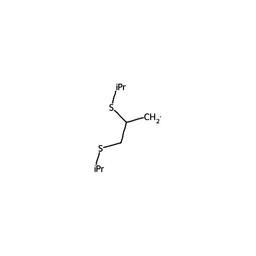 [CH2]C(CSC(C)C)SC(C)C